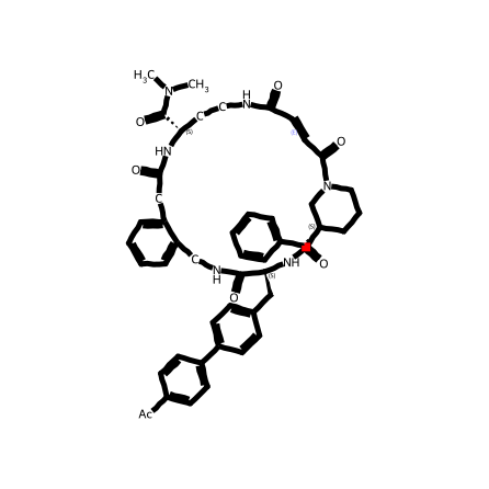 CC(=O)c1ccc(-c2ccc(C[C@@H]3NC(=O)[C@]4(Cc5ccccc5)CCCN(C4)C(=O)/C=C/C(=O)NCC[C@@H](C(=O)N(C)C)NC(=O)Cc4ccccc4CNC3=O)cc2)cc1